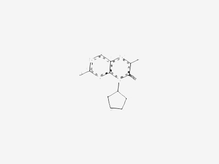 O=c1c(Cl)nc2cnc(Cl)nc2n1C1CCCC1